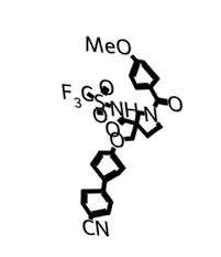 COc1ccc(C(=O)N2CCC(COc3ccc(-c4ccc(C#N)cc4)cc3)(C(=O)NS(=O)(=O)C(F)(F)F)C2)cc1